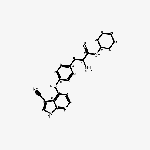 N#Cc1c[nH]c2nccc(Oc3ccc(C[C@H](N)C(=O)NC4CCCCC4)cc3)c12